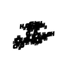 C[Si](C)(C)CCOCn1cc(C(=O)c2ccccc2C(F)(F)F)cc1-c1nc2cnc(N3CC(O)C3)c(F)c2n1COCC[Si](C)(C)C